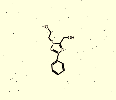 OCCn1nc(-c2ccccc2)nc1CO